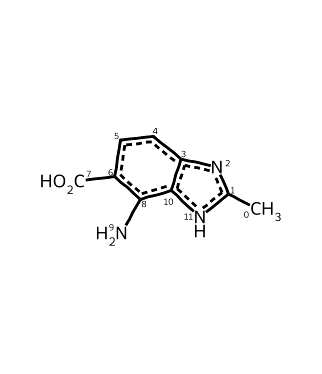 Cc1nc2ccc(C(=O)O)c(N)c2[nH]1